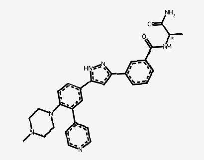 C[C@@H](NC(=O)c1cccc(-c2cc(-c3ccc(N4CCN(C)CC4)c(-c4ccncc4)c3)[nH]n2)c1)C(N)=O